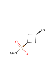 CNS(=O)(=O)[C@H]1C[C@@H](C#N)C1